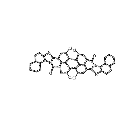 O=c1c2cc(Cl)c3c4c(Cl)cc5c6c(cc(Cl)c(c7c(Cl)cc(c2c37)c2nc3ccc7ccccc7c3n12)c46)c(=O)n1c5nc2ccc3ccccc3c21